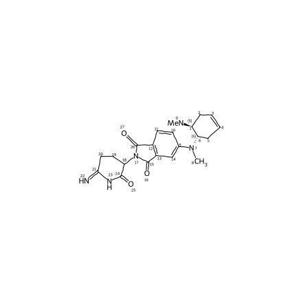 CN[C@H]1CC=CC[C@@H]1N(C)c1ccc2c(c1)C(=O)N(C1CCC(=N)NC1=O)C2=O